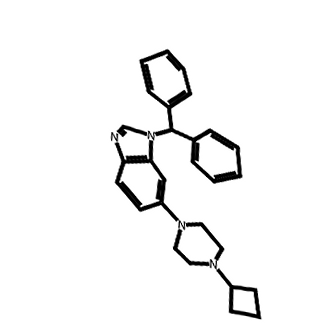 c1ccc(C(c2ccccc2)n2cnc3ccc(N4CCN(C5CCC5)CC4)cc32)cc1